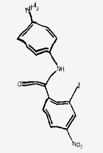 Nc1ccc(NC(=O)c2ccc([N+](=O)[O-])cc2I)cc1